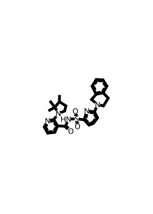 CC1CCN(c2ncccc2C(=O)NS(=O)(=O)c2cccc(N3CCc4ccccc4C3)n2)C1(C)C